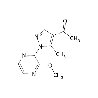 COc1nccnc1-n1ncc(C(C)=O)c1C